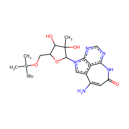 CC1(O)C(O)C(CO[Si](C)(C)C(C)(C)C)OC1n1cc2c3c(ncnc31)NC(=O)C=C2N